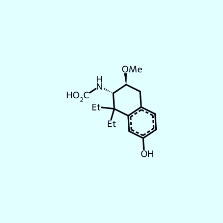 CCC1(CC)c2cc(O)ccc2C[C@H](OC)[C@H]1NC(=O)O